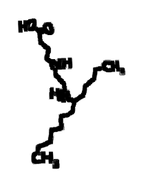 CCCCCCCC(CCCCC)NCCNCCCC(=O)O